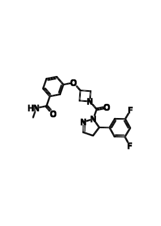 CNC(=O)c1cccc(OC2CN(C(=O)N3N=CCC3c3cc(F)cc(F)c3)C2)c1